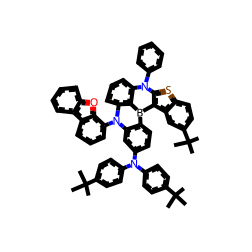 CC(C)(C)c1ccc(N(c2ccc(C(C)(C)C)cc2)c2ccc3c(c2)N(c2cccc4c2oc2ccccc24)c2cccc4c2B3c2c(sc3ccc(C(C)(C)C)cc23)N4c2ccccc2)cc1